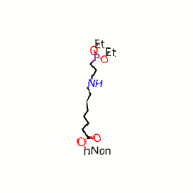 CCCCCCCCCOC(=O)CCCCCCCNCCCP(OCC)OCC